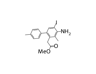 COC(=O)Cc1c(-c2ccc(C)cc2)cc(I)c(N)c1C